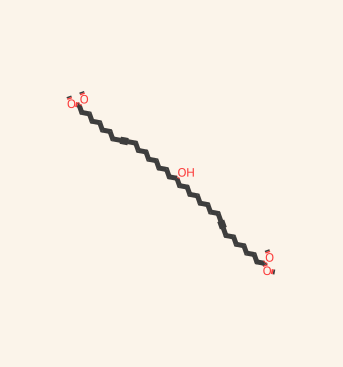 COC(CCCCCCCC#CCCCCCCCCC(O)CCCCCCCCC#CCCCCCCCC(OC)OC)OC